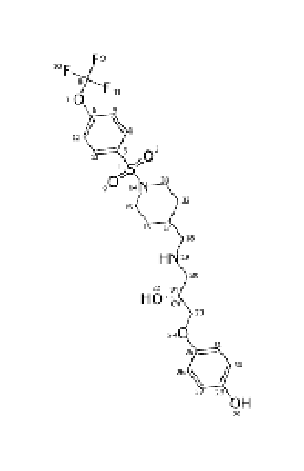 O=S(=O)(c1ccc(OC(F)(F)F)cc1)N1CCC(CNC[C@@H](O)COc2ccc(O)cc2)CC1